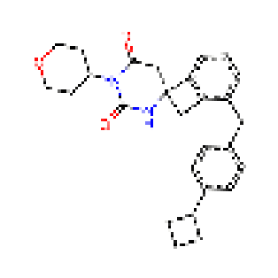 O=C1C[C@]2(Cc3c(Cc4ccc(C5CCC5)cc4)cccc32)NC(=O)N1C1CCOCC1